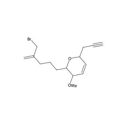 C#CCC1C=CC(OC)C(CCCC(=C)CBr)O1